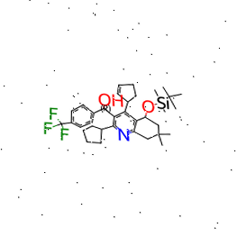 CC1(C)Cc2nc(C3CCCC3)c([C@H](O)c3ccc(C(F)(F)F)cc3)c(C3C=CCC3)c2C(O[Si](C)(C)C(C)(C)C)C1